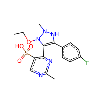 CCON1C(c2nc(C)ncc2S(=O)(=O)O)=C(c2ccc(F)cc2)NN1C